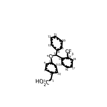 O=C(O)Cc1ccc(OC(c2ccccc2)c2ccccc2C(F)(F)F)cc1